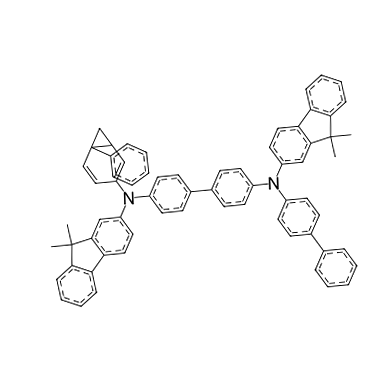 CC1(C)c2ccccc2-c2ccc(N(C3=CC4CC4(c4ccccc4)C=C3)c3ccc(-c4ccc(N(c5ccc(-c6ccccc6)cc5)c5ccc6c(c5)C(C)(C)c5ccccc5-6)cc4)cc3)cc21